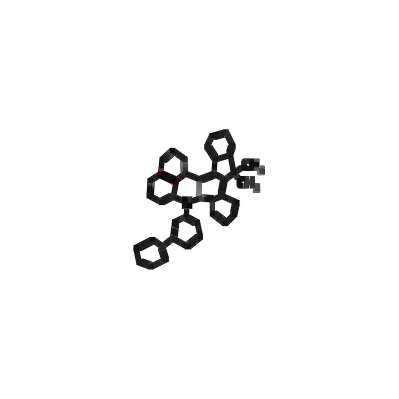 CC1(C)c2ccccc2-c2c(-c3ccccc3)c(N(c3ccccc3)c3cccc(-c4ccccc4)c3)c3ccccc3c21